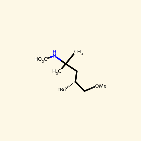 COC[C@@H](CC(C)(C)NC(=O)O)C(C)(C)C